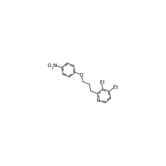 CCc1ccnc(CCCOc2ccc([N+](=O)[O-])cc2)c1CC